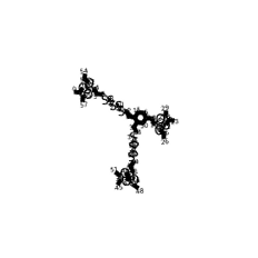 CCO[Si](CCCSSSSSCCC1CCC(CC[Si](OCC)(OCC)OCC)CC1CCSSSSSCCC[Si](OCC)(OCC)OCC)(OCC)OCC